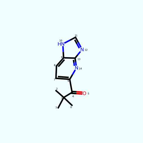 CC(C)(C)C(=O)c1ccc2[nH]cnc2n1